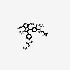 C=CC(=O)Nc1ccc(-c2c(-c3ccc(C(=O)NCC4(F)CC4)c(OC)c3)c3c(N)ncc(C#N)c3n2C)cc1